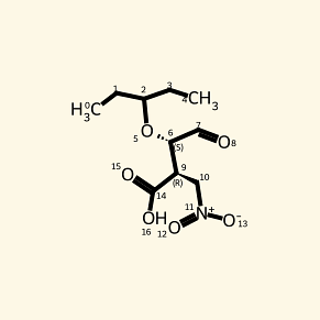 CCC(CC)O[C@H](C=O)[C@@H](C[N+](=O)[O-])C(=O)O